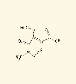 COc1c(C(=O)O)ncn(C)c1=O